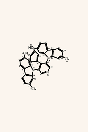 N#Cc1ccc2c3ccc(C#N)cc3n(-c3cncc(-n4c5cc(C#N)ccc5c5ccc(C#N)cc54)c3C3=CC=CC3)c2c1